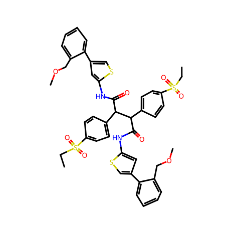 CCS(=O)(=O)c1ccc(C(C(=O)Nc2cc(-c3ccccc3COC)cs2)C(C(=O)Nc2cc(-c3ccccc3COC)cs2)c2ccc(S(=O)(=O)CC)cc2)cc1